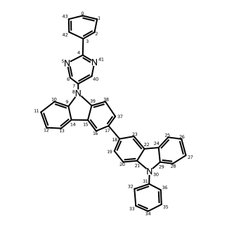 c1ccc(-c2ncc(-n3c4ccccc4c4cc(-c5ccc6c(c5)c5ccccc5n6-c5ccccc5)ccc43)cn2)cc1